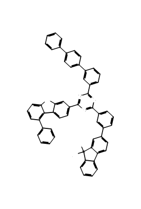 CC1(C)c2ccccc2-c2ccc(-c3cccc(-c4nc(-c5cccc(-c6ccc(-c7ccccc7)cc6)c5)nc(-c5ccc6c(c5)oc5cccc(-c7ccccc7)c56)n4)c3)cc21